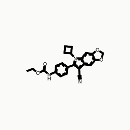 CCOC(=O)Nc1ccc(-c2c(C#N)c3cc4c(cc3n2C2CCC2)OCO4)cc1